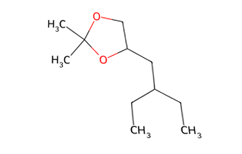 CCC(CC)CC1COC(C)(C)O1